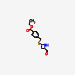 CCOC(=O)c1ccc(CSC2CC(C=O)N2)cc1